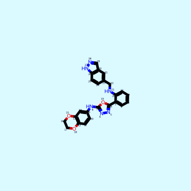 c1ccc(-c2nnc(Nc3ccc4c(c3)OCCO4)o2)c(NCc2ccc3[nH]ncc3c2)c1